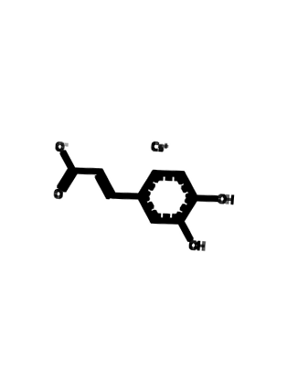 O=C([O-])C=Cc1ccc(O)c(O)c1.[Cs+]